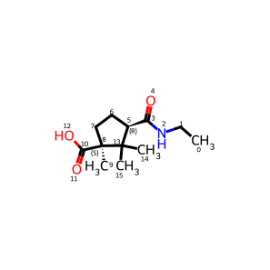 CCNC(=O)[C@@H]1CC[C@](C)(C(=O)O)C1(C)C